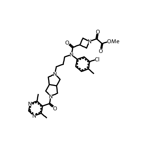 COC(=O)C(=O)N1CC(C(=O)N(CCCN2CC3CN(C(=O)c4c(C)ncnc4C)CC3C2)c2ccc(C)c(Cl)c2)C1